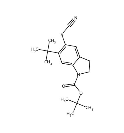 CC(C)(C)OC(=O)N1CCc2cc(SC#N)c(C(C)(C)C)cc21